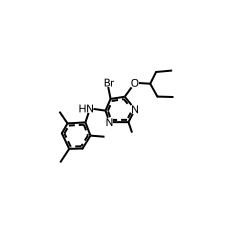 CCC(CC)Oc1nc(C)nc(Nc2c(C)cc(C)cc2C)c1Br